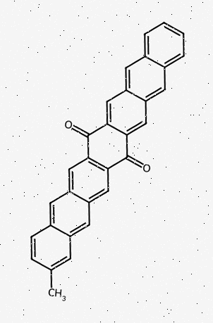 Cc1ccc2cc3cc4c(cc3cc2c1)C(=O)c1cc2cc3ccccc3cc2cc1C4=O